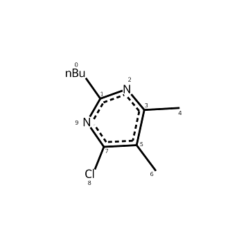 CCCCc1nc(C)c(C)c(Cl)n1